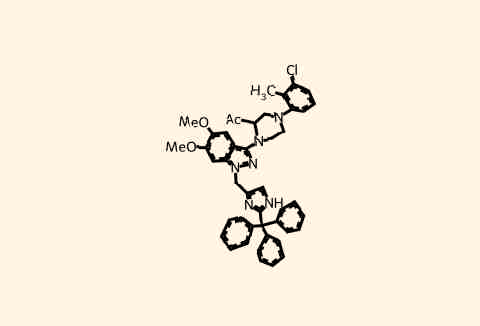 COc1cc2c(N3CCN(c4cccc(Cl)c4C)CC3C(C)=O)nn(Cc3c[nH]c(C(c4ccccc4)(c4ccccc4)c4ccccc4)n3)c2cc1OC